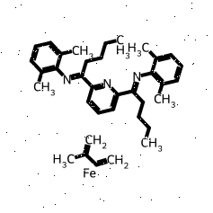 C=CC(=C)C.CCCCC(=Nc1c(C)cccc1C)c1cccc(C(CCCC)=Nc2c(C)cccc2C)n1.[Fe]